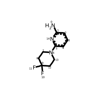 Nc1cccc(N2CCC(F)(F)CC2)n1